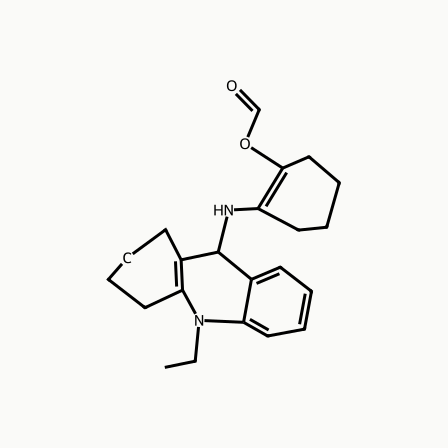 CCN1C2=C(CCCC2)C(NC2=C(OC=O)CCCC2)c2ccccc21